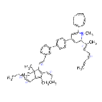 C=C/C=C\C=C(/C)C1C=C(c2ccc(-c3cccc(/C=C/C4=C(/C=C\C)C(C)=C(/C=C\C=C/C)C4(C)C)c3)cc2)C=C(C2=CCC=CC=C2)N1C